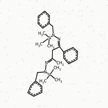 C/C(C/C(=N\N(Cc1ccccc1)[Si](C)(C)C)c1ccccc1)=N\N(Cc1ccccc1)[Si](C)(C)C